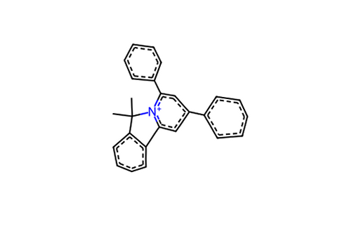 CC1(C)c2ccccc2-c2cc(-c3ccccc3)cc(-c3ccccc3)[n+]21